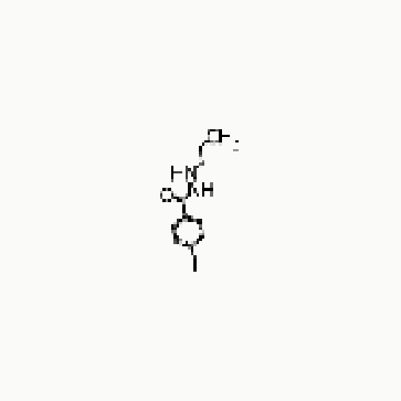 CCCNNC(=O)c1ccc(I)cc1